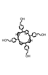 OCCN1C=CC(c2c3nc(c(C4=CCN(CCO)C=C4)c4ccc([nH]4)c(C4=CCN(CCO)C=C4)c4nc(c(C5=CCN(CCO)C=C5)c5ccc2[nH]5)C=C4)C=C3)=CC1